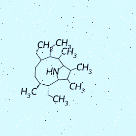 CCC1CC[C@H](C)[C@@H](CC)C2NC(C(C)C2C)C(C)C1CC